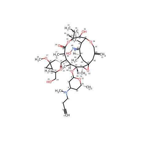 C#CCCN(C)C1CC(O[C@@H]2[C@@H](C)C([C@@H](CC3(OC)CC3)OC(C)CO)C(C)C(=O)O[C@H](CC)[C@@](C)(O)C3OCC(=C)CC4(C[C@@H](C)/C(=N\O)C3C)O[C@@]24C)O[C@H](C)C1